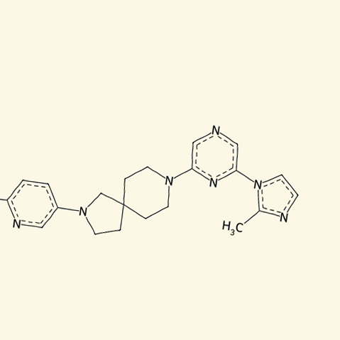 Cc1nccn1-c1cncc(N2CCC3(CCN(c4ccc(C(F)(F)F)nc4)C3)CC2)n1